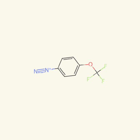 N#[N+]c1ccc(OC(F)(F)F)cc1